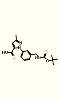 Cc1cc(C(=O)O)n(-c2cccc(CNC(=O)OC(C)(C)C)c2)n1